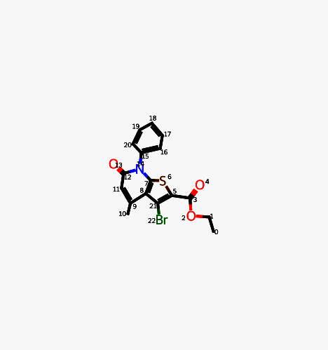 CCOC(=O)c1sc2c(c(C)cc(=O)n2-c2ccccc2)c1Br